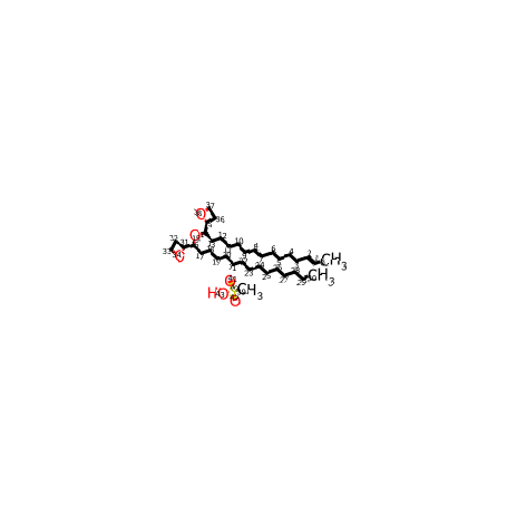 CCCCCCCCCCCCCCC(OC(CCCCCCCCCCCCCC)C1CCO1)C1CCO1.CS(=O)(=O)O